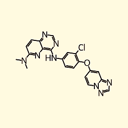 CN(C)c1ccc2ncnc(Nc3ccc(Oc4ccn5ncnc5c4)c(Cl)c3)c2n1